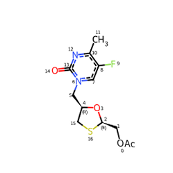 CC(=O)OC[C@@H]1O[C@H](Cn2cc(F)c(C)nc2=O)CS1